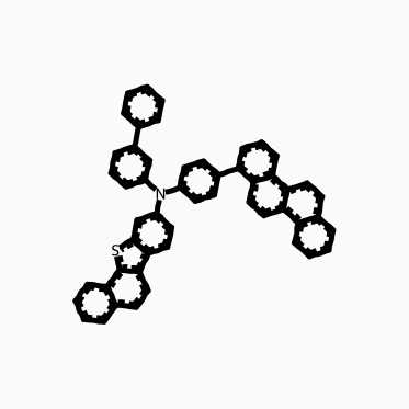 c1ccc(-c2cccc(N(c3ccc(-c4cccc5c4ccc4c6ccccc6ccc54)cc3)c3ccc4c(c3)sc3c5ccccc5ccc43)c2)cc1